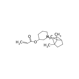 C=CC(=O)OC1CCCC(C2CC3CCC2(C)C3(C)C)C1